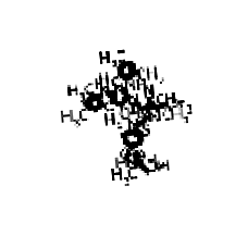 Cc1cc(C)c(Nc2cc(C)c(N=Nc3c(C#N)c(C(C)(C)C)nn3-c3nc4ccc(S(=O)(=O)NC(C)(C)CO)cc4s3)c(Nc3c(C)cc(C)cc3C)n2)c(C)c1